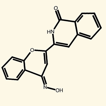 O=c1[nH]c(-c2cc(=NO)c3ccccc3o2)cc2ccccc12